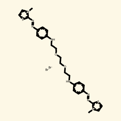 C[n+]1ccsc1/N=N/c1ccc(NCCOCCOCCNc2ccc(/N=N/c3scc[n+]3C)cc2)cc1.[Br-].[Br-]